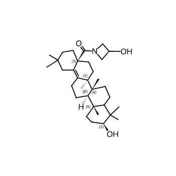 CC1(C)CC[C@]2(C(=O)N3CC(O)C3)CC[C@]3(C)C(=C2C1)CC[C@@H]1[C@@]2(C)CC[C@H](O)C(C)(C)C2CC[C@]13C